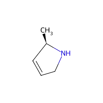 C[C@@H]1C=CCN1